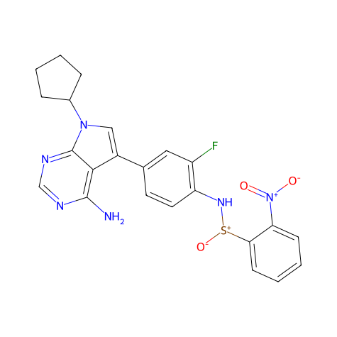 Nc1ncnc2c1c(-c1ccc(N[S+]([O-])c3ccccc3[N+](=O)[O-])c(F)c1)cn2C1CCCC1